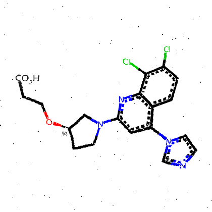 O=C(O)CCO[C@@H]1CCN(c2cc(-n3ccnc3)c3ccc(Cl)c(Cl)c3n2)C1